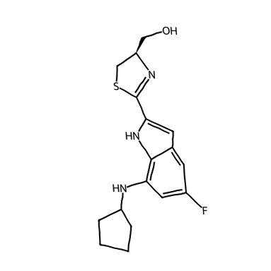 OC[C@@H]1CSC(c2cc3cc(F)cc(NC4CCCC4)c3[nH]2)=N1